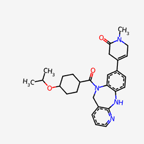 CC(C)OC1CCC(C(=O)N2Cc3cccnc3Nc3ccc(C4=CCN(C)C(=O)C4)cc32)CC1